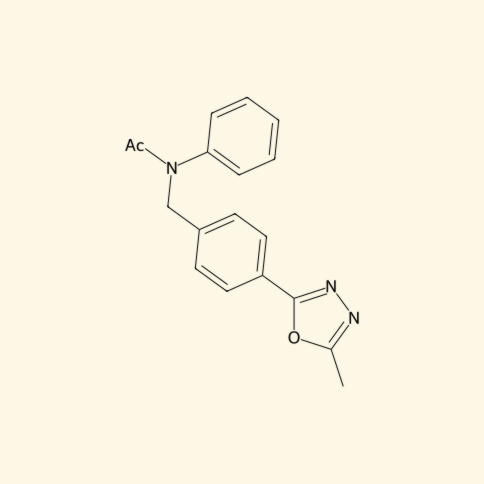 CC(=O)N(Cc1ccc(-c2nnc(C)o2)cc1)c1ccccc1